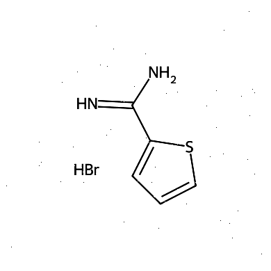 Br.N=C(N)c1cccs1